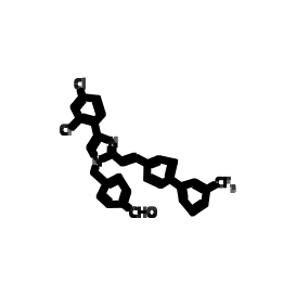 O=Cc1ccc(Cn2cc(-c3ccc(Cl)cc3Cl)nc2/C=C/c2ccc(-c3cccc(C(F)(F)F)c3)cc2)cc1